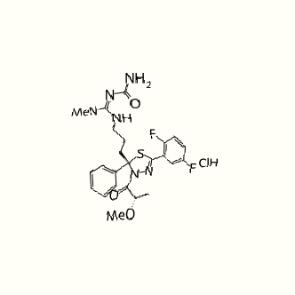 CN/C(=N/C(N)=O)NCCC[C@@]1(c2ccccc2)SC(c2cc(F)ccc2F)=NN1C(=O)[C@H](C)OC.Cl